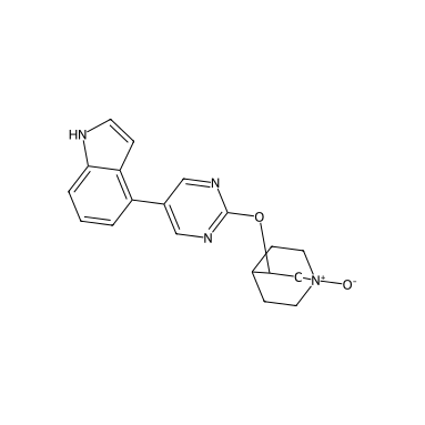 [O-][N+]12CCC(CC1)C(Oc1ncc(-c3cccc4[nH]ccc34)cn1)C2